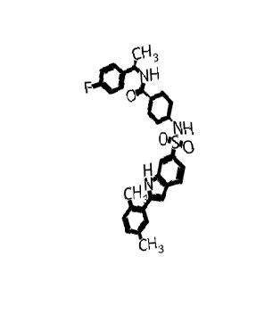 Cc1ccc(C)c(-c2cc3ccc(S(=O)(=O)N[C@H]4CC[C@H](C(=O)N[C@H](C)c5ccc(F)cc5)CC4)cc3[nH]2)c1